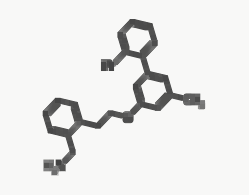 Cc1cc(OCCc2ccccc2CN)cc(-c2ccccc2C(C)C)c1